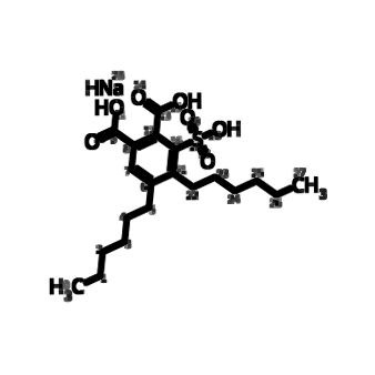 CCCCCCc1cc(C(=O)O)c(C(=O)O)c(S(=O)(=O)O)c1CCCCCC.[NaH]